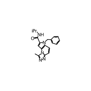 Cc1nnc2ccc3c(cc(C(=O)NC(C)C)n3Cc3ccccc3)n12